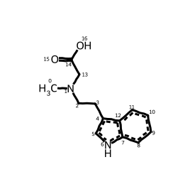 CN(CCc1c[nH]c2ccccc12)CC(=O)O